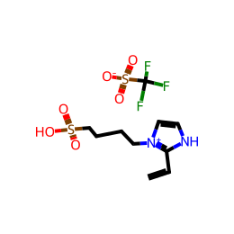 C=Cc1[nH]cc[n+]1CCCCS(=O)(=O)O.O=S(=O)([O-])C(F)(F)F